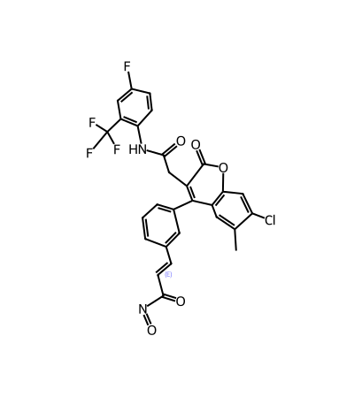 Cc1cc2c(-c3cccc(/C=C/C(=O)N=O)c3)c(CC(=O)Nc3ccc(F)cc3C(F)(F)F)c(=O)oc2cc1Cl